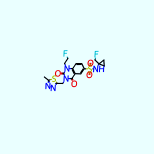 Cc1nnc(Cn2c(=O)c3cc(S(=O)(=O)NC4(CF)CC4)ccc3n(CCF)c2=O)s1